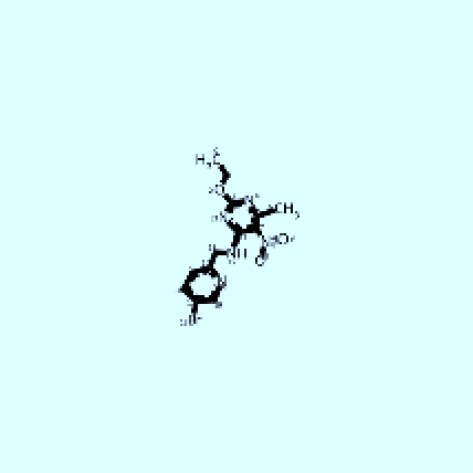 CCOc1nc(C)c([N+](=O)[O-])c(NCc2ccc(Br)cn2)n1